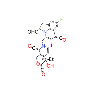 CC[C@@]1(O)C(=C=O)OCC2=C1C=CN(CC1=C(I)C(=C=O)c3cc(F)cc4c3N1C(C=O)C4)C2=C=O